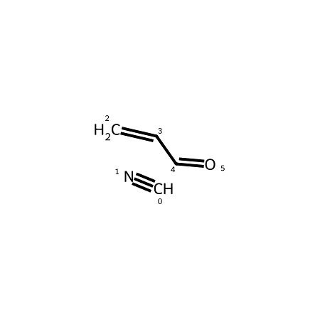 C#N.C=CC=O